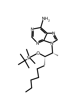 CCCCCC[C@H](O[Si](C)(C)C(C)(C)C)[C@@H](C)n1cnc2c(N)ncnc21